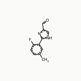 Cc1ccc(F)c(-c2nc(C=O)c[nH]2)c1